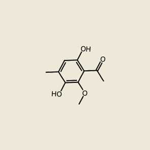 COc1c(O)c(C)cc(O)c1C(C)=O